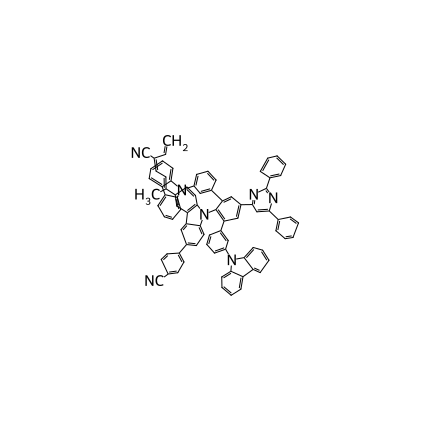 C=C/C(C#N)=C\C=C(/C)c1ccc2c(c1)c1cc(-c3ccc(C#N)cc3)ccc1n2-c1c(-c2cccc(-n3c4ccccc4c4ccccc43)c2)cc(-c2cc(-c3ccccc3)nc(-c3ccccc3)n2)cc1-c1cccc(-n2c3ccccc3c3ccccc32)c1